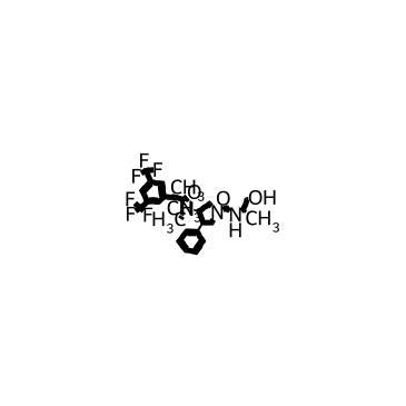 C[C@H](CO)NC(=O)N1C[C@@H](N(C)C(=O)C(C)(C)c2cc(C(F)(F)F)cc(C(F)(F)F)c2)[C@H](c2ccccc2)C1